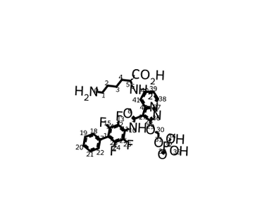 NCCCC[C@@H](N)C(=O)O.O=C(Nc1c(F)c(F)c(-c2ccccc2)c(F)c1F)c1c(OCOP(=O)(O)O)nn2ccccc12